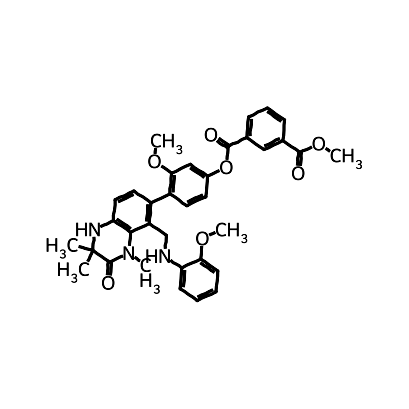 COC(=O)c1cccc(C(=O)Oc2ccc(-c3ccc4c(c3CNc3ccccc3OC)N(C)C(=O)C(C)(C)N4)c(OC)c2)c1